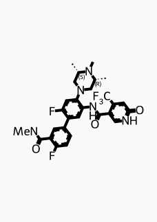 CNC(=O)c1cc(-c2cc(NC(=O)c3c[nH]c(=O)cc3C(F)(F)F)c(N3C[C@@H](C)N(C)[C@@H](C)C3)cc2F)ccc1F